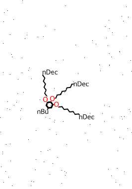 [CH2]CCCc1cc(OCCCCCCCCCCCCCCCCCC)c(OCCCCCCCCCCCCCCCCCC)c(OCCCCCCCCCCCCCCCCCC)c1